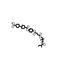 CCC(C)C(=O)OCC(C)(C)COC(=O)CCC(=O)Oc1ccc(OC(=O)C2CCC(C3CCC(C(=O)OC)CC3)CC2)cc1